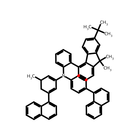 CC1C=C(N(c2ccc(-c3cccc4ccccc34)cc2)c2ccccc2-c2cccc3c2-c2ccc(C(C)(C)C)cc2C3(C)C)C=C(c2cccc3ccccc23)C1